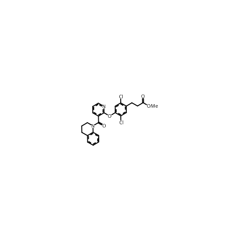 COC(=O)CCc1cc(Cl)c(Oc2ncccc2C(=O)N2CCCc3ccccc32)cc1Cl